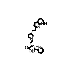 O=C(N[C@@H](CCN1CC[C@H](CCc2ccc3c(n2)NCCC3)C1)C(=O)O)c1ccccn1